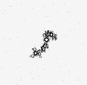 COc1cc(OC)c(CNc2cc3c(o2)=NCN(c2ccc(N(C(N)=O)c4cc(C(F)(F)F)ccc4F)cc2)C=3)c(OC)c1